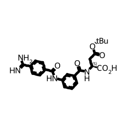 CC(C)(C)OC(=O)C[C@H](NC(=O)c1cccc(NC(=O)c2ccc(C(=N)N)cc2)c1)C(=O)O